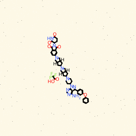 Nc1ncnc2c1c(-c1ccc(Oc3ccccc3)cc1)nn2C1CCN(C2C[C@@H]3CN(C4C[C@@H]5CN(c6ccc7c(c6)C(=O)N(C6CCC(=O)NC6=O)C7=O)C[C@@H]5C4)C[C@@H]3C2)CC1.O=C(O)C(F)(F)F